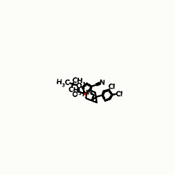 CC(C)(C)OC(=O)N1CCC2(c3ccc(Cl)c(Cl)c3)CC2(Cn2nccc2C#N)C1